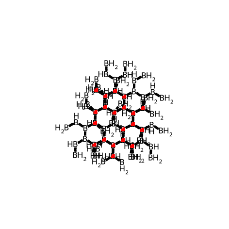 BBB(B)B(B(BB)BB)B(B(B(BB)B(BB)BB)B(B(BB)B(BB)BB)B(BB)B(BB)BB)B(B(B(BB)B(BB)BB)B(B(BB)B(BB)BB)B(BB)B(BB)BB)B(B(BB)B(BB)BB)B(B(BB)B(BB)BB)B(BB)B(BB)BB